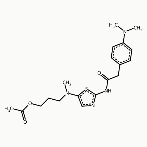 CC(=O)OCCCN(C)c1cnc(NC(=O)Cc2ccc(N(C)C)cc2)s1